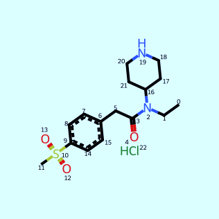 CCN(C(=O)Cc1ccc(S(C)(=O)=O)cc1)C1CCNCC1.Cl